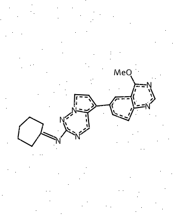 COc1ncnc2ccc(-c3ccn4nc(N=C5CCCCC5)ncc34)cc12